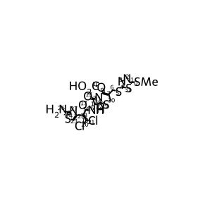 CSc1nnc(SCC2=C(OC(=O)O)N3C(=O)C(NC(=O)C(=C(Cl)Cl)c4csc(N)n4)[C@@H]3SC2)s1